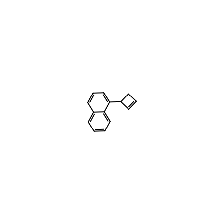 C1=CC(c2cccc3ccccc23)C1